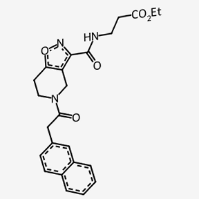 CCOC(=O)CCNC(=O)c1noc2c1CN(C(=O)Cc1ccc3ccccc3c1)CC2